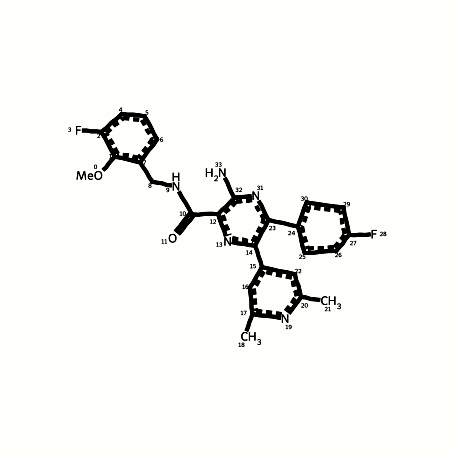 COc1c(F)cccc1CNC(=O)c1nc(-c2cc(C)nc(C)c2)c(-c2ccc(F)cc2)nc1N